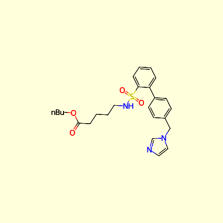 CCCCOC(=O)CCCCNS(=O)(=O)c1ccccc1-c1ccc(Cn2ccnc2)cc1